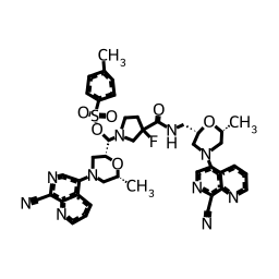 Cc1ccc(S(=O)(=O)OC([C@H]2CN(c3cnc(C#N)c4ncccc34)C[C@@H](C)O2)N2CCC(F)(C(=O)NC[C@H]3CN(c4cnc(C#N)c5ncccc45)C[C@@H](C)O3)C2)cc1